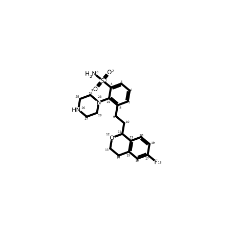 NS(=O)(=O)c1cccc(CCC2OCCc3cc(F)ccc32)c1N1CCNCC1